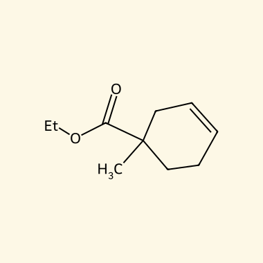 CCOC(=O)C1(C)CC=CCC1